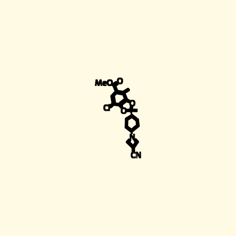 COC(=O)c1cc(Cl)c2c(c1C)OC(C)([C@H]1CC[C@@H](N3CC(C#N)C3)CC1)O2